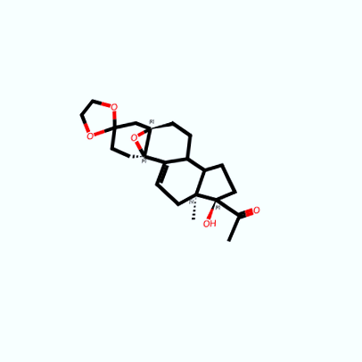 CC(=O)[C@@]1(O)CCC2C3CC[C@@]45CC6(CC[C@@]4(O5)C3=CC[C@@]21C)OCCO6